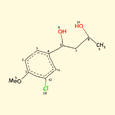 COc1ccc(C(O)CC(C)O)cc1Cl